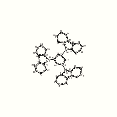 c1ccc2c(c1)c1cnccc1n2-c1cc(-n2c3ccccc3c3ccncc32)cc(-n2c3ccccc3c3ncccc32)c1